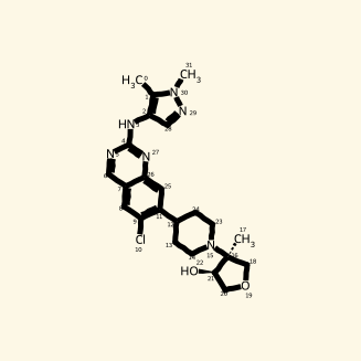 Cc1c(Nc2ncc3cc(Cl)c(C4CCN([C@@]5(C)COC[C@H]5O)CC4)cc3n2)cnn1C